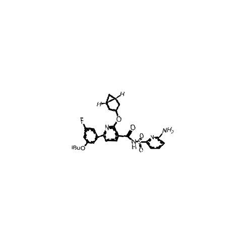 CC(C)COc1cc(F)cc(-c2ccc(C(=O)NS(=O)(=O)c3cccc(N)n3)c(OC3C[C@@H]4C[C@@H]4C3)n2)c1